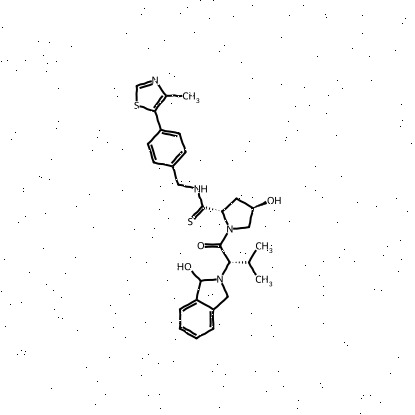 Cc1ncsc1-c1ccc(CNC(=S)[C@@H]2C[C@@H](O)CN2C(=O)[C@H](C(C)C)N2Cc3ccccc3C2O)cc1